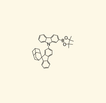 CC1(C)OB(c2ccc3c4ccccc4n(-c4ccc5c(c4)C4(c6ccccc6-5)C5CC6CC(C5)CC4C6)c3c2)OC1(C)C